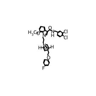 COc1cccc2c(C(=O)NCc3ccc(Cl)c(Cl)c3)cn(CCCN3C[C@@H]4CC[C@H]3CN4CCOc3ccc(F)cc3)c12